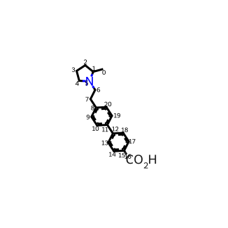 CC1CCCN1CCc1ccc(-c2ccc(C(=O)O)cc2)cc1